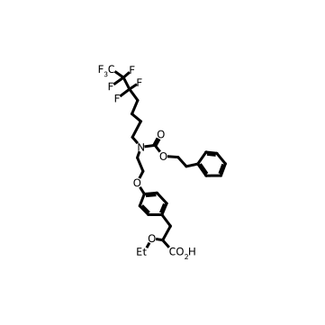 CCOC(Cc1ccc(OCCN(CCCCC(F)(F)C(F)(F)C(F)(F)F)C(=O)OCCc2ccccc2)cc1)C(=O)O